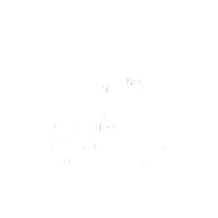 O=C(O)C(F)(F)F.O=C(O)C1(c2ccc([N+](=O)[O-])c(N(Cc3ccccc3)Cc3ccccc3)c2F)CCC2(CC1)OCCO2